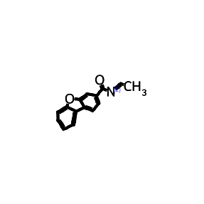 C/C=N/C(=O)c1ccc2c(c1)oc1ccccc12